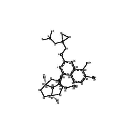 CN(C)CC1(COc2nc(N3CC[C@H]4CC[C@@H](C3)N4C(=O)OC(C)(C)C)c3ccc(Br)c(F)c3n2)CC1